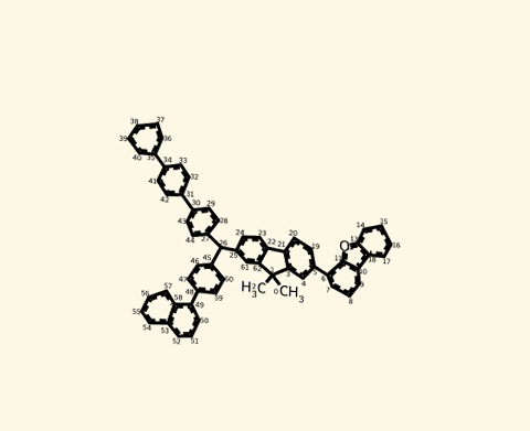 CC1(C)c2cc(-c3cccc4c3oc3ccccc34)ccc2-c2ccc(C(c3ccc(-c4ccc(-c5ccccc5)cc4)cc3)c3ccc(-c4cccc5ccccc45)cc3)cc21